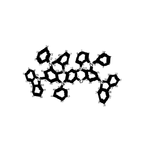 c1ccc(N2c3ccccc3B3c4cc5c(cc4Oc4cc(-n6c7ccccc7c7ccccc76)cc2c43)N(c2ccccc2)c2cc(-n3c4ccccc4c4ccccc43)cc3c2B5c2ccccc2N3c2ccccc2)cc1